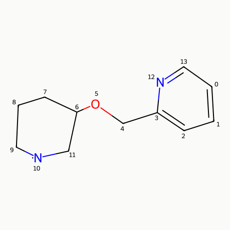 c1ccc(COC2CCC[N]C2)nc1